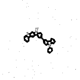 c1ccc(-n2c3ccccc3c3cc(-c4ccc5[nH]c6cc7sc8ccccc8c7cc6c5c4)ccc32)cc1